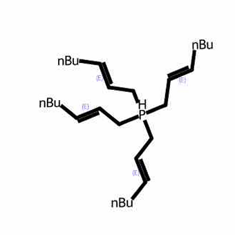 CCCC/C=C/C[PH](C/C=C/CCCC)(C/C=C/CCCC)C/C=C/CCCC